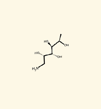 C[C@@H](O)[C@H](O)[C@H](O)[C@@H](O)CN